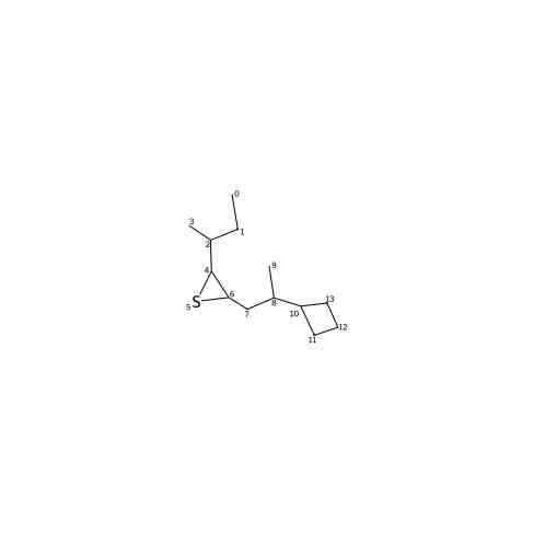 CCC(C)C1SC1CC(C)C1CCC1